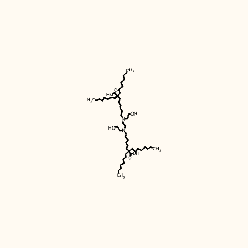 CCCCCCCCC(CCCCCCCC)(CCCCCCN(CCO)CCN(CCO)CCCCCCC(CCCCCCCC)(CCCCCCCC)C(=O)O)C(=O)O